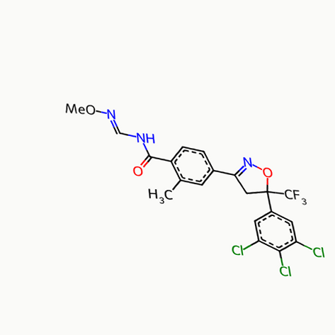 CON=CNC(=O)c1ccc(C2=NOC(c3cc(Cl)c(Cl)c(Cl)c3)(C(F)(F)F)C2)cc1C